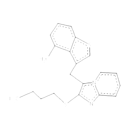 CCCCSc1nc2ccccn2c1Cc1csc2cccc(C)c12